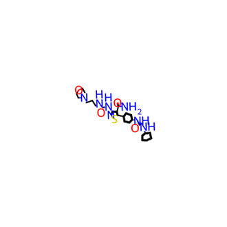 NC(=O)c1c(NC(=O)NCCCN2CCOCC2)nsc1-c1ccc(NC(=O)Nc2ccccc2)cc1